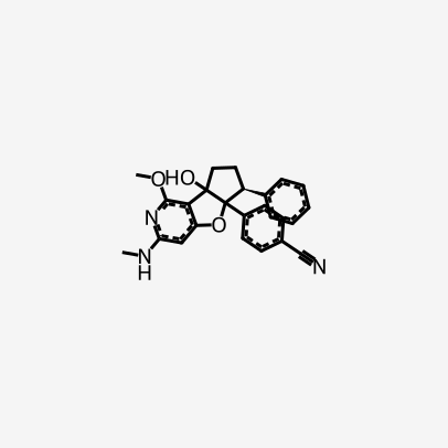 CNc1cc2c(c(OC)n1)C1(O)CC[C@@H](c3ccccc3)C1(c1ccc(C#N)cc1)O2